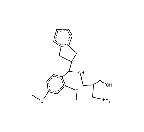 COc1ccc(C(NCC(CN)CO)C2Cc3ccccc3C2)c(OC)c1